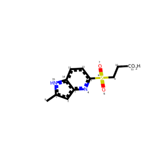 Cc1cc2nc(S(=O)(=O)CCC(=O)O)ccc2[nH]1